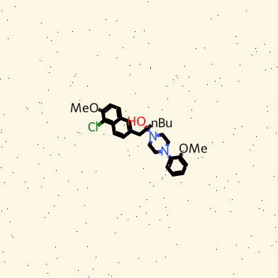 CCCCC(O)(Cc1ccc2c(Cl)c(OC)ccc2c1)N1CCN(c2ccccc2OC)CC1